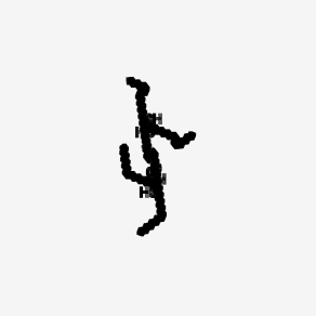 CCCCC/C=C\C/C=C\CCCCCCC(O)CN(CCCSSCCN1CCN(CCOC(=O)CCCN(CC(O)CCCCCC/C=C\CCCCCCCC)CC(O)CCCCCC/C=C\CCCCCCCC)CC1)CC(O)CCCCCC/C=C\C/C=C\CCCCC